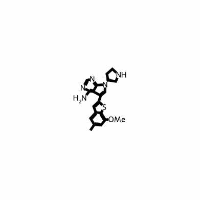 COc1cc(C)cc2cc(-c3cn([C@@H]4CCNC4)c4ncnc(N)c34)sc12